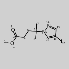 COC(=O)CCC(C)(C)n1cc(I)cn1